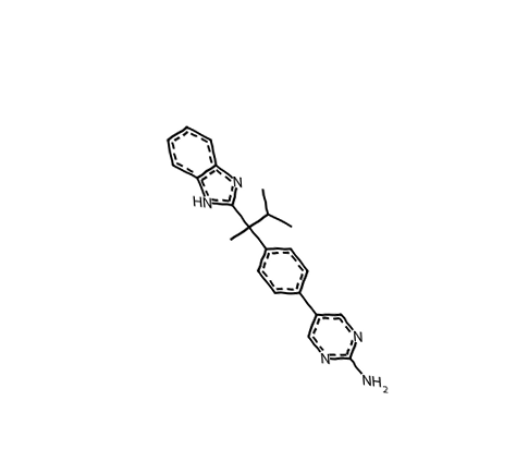 CC(C)C(C)(c1ccc(-c2cnc(N)nc2)cc1)c1nc2ccccc2[nH]1